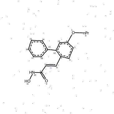 CCCOc1ccc(/C=C/C(=O)NO)c(-c2ccccc2)c1